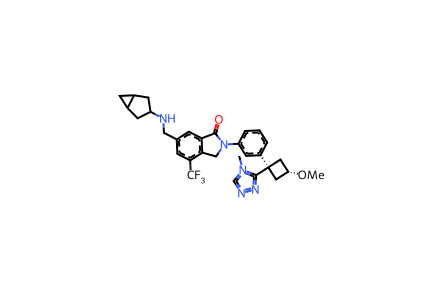 CO[C@H]1C[C@](c2cccc(N3Cc4c(cc(CNC5CC6CC6C5)cc4C(F)(F)F)C3=O)c2)(c2nncn2C)C1